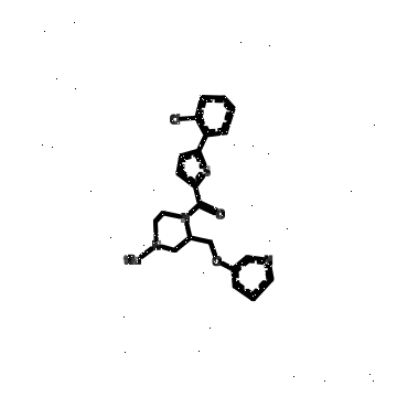 CC(C)(C)N1CCN(C(=O)c2ccc(-c3ccccc3Cl)s2)C(COc2cccnc2)C1